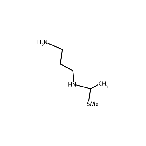 CSC(C)NCCCN